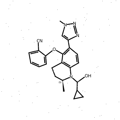 C[C@H]1CCc2c(ccc(-c3cn(C)nn3)c2Oc2ccccc2C#N)N1C(O)C1CC1